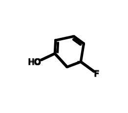 OC1=CC=C[C](F)C1